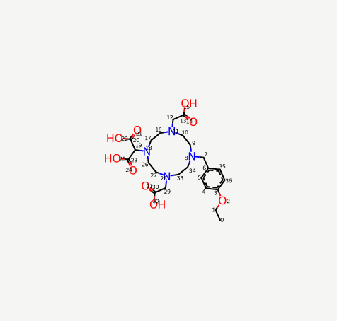 CCOc1ccc(CN2CCN(CC(=O)O)CCN(C(C(=O)O)C(=O)O)CCN(CC(=O)O)CC2)cc1